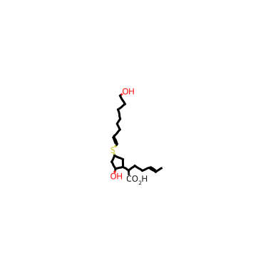 CC=CCCC(C(=O)O)C1CC(SC=CCCCCCCO)CC1O